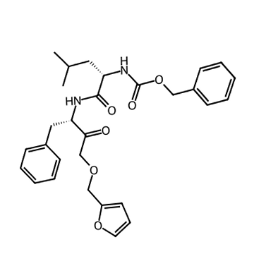 CC(C)C[C@H](NC(=O)OCc1ccccc1)C(=O)N[C@@H](Cc1ccccc1)C(=O)COCc1ccco1